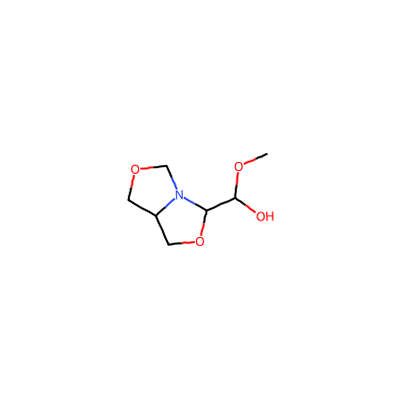 COC(O)C1OCC2COCN21